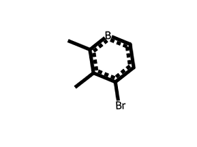 Cc1bccc(Br)c1C